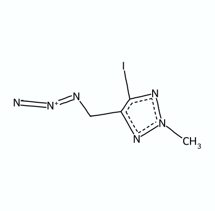 Cn1nc(I)c(CN=[N+]=[N-])n1